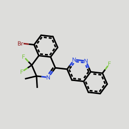 CC1(C)N=C(c2cc3cccc(F)c3nn2)c2cccc(Br)c2C1(F)F